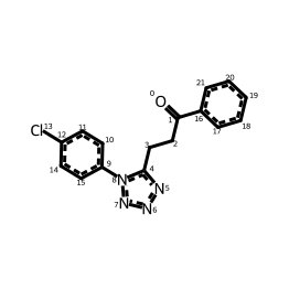 O=C(CCc1nnnn1-c1ccc(Cl)cc1)c1ccccc1